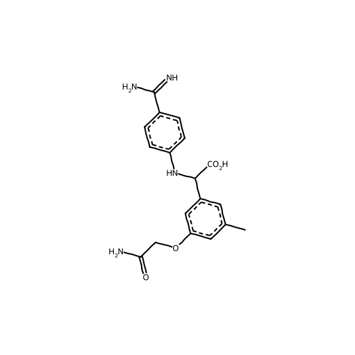 Cc1cc(OCC(N)=O)cc(C(Nc2ccc(C(=N)N)cc2)C(=O)O)c1